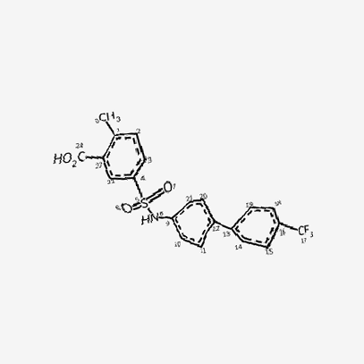 Cc1ccc(S(=O)(=O)Nc2ccc(-c3ccc(C(F)(F)F)cc3)cc2)cc1C(=O)O